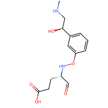 CNC[C@H](O)c1cccc(ON[C@H](C=O)CCC(=O)O)c1